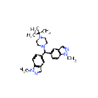 Cn1ncc2cc(C(c3ccc4c(cnn4C)c3)N3CCN(C(C)(C)C)CC3)ccc21